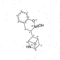 Cl.c1ccc2c(c1)CC(C1C3CCNC1O3)NO2